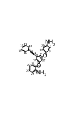 Nc1ccc(Oc2cc(C#Cc3ccccc3)cc(Oc3ccccc3N)c2)cc1